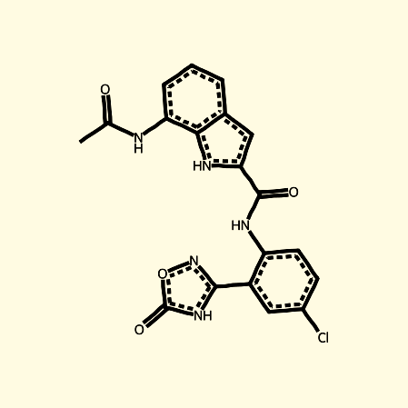 CC(=O)Nc1cccc2cc(C(=O)Nc3ccc(Cl)cc3-c3noc(=O)[nH]3)[nH]c12